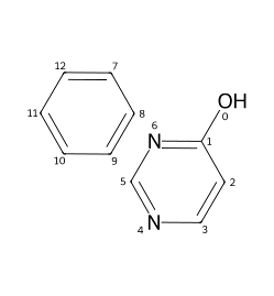 Oc1ccncn1.c1ccccc1